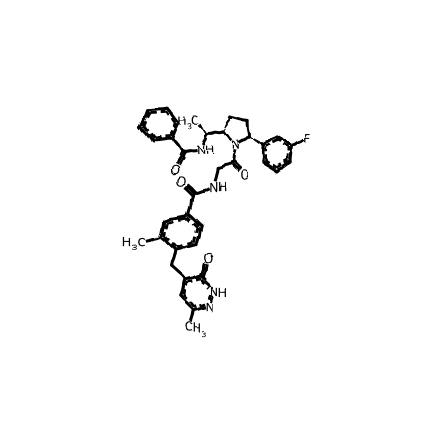 Cc1cc(Cc2ccc(C(=O)NCC(=O)N3[C@@H]([C@H](C)NC(=O)c4ccccc4)CC[C@H]3c3cccc(F)c3)cc2C)c(=O)[nH]n1